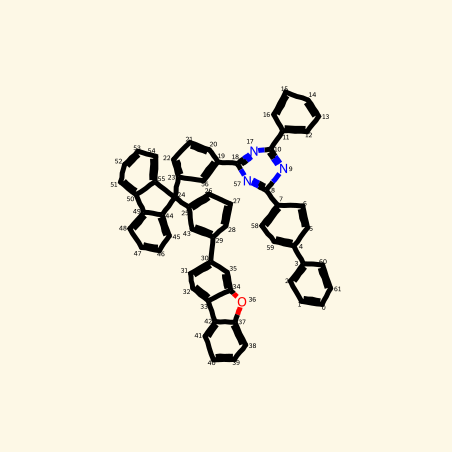 c1ccc(-c2ccc(-c3nc(-c4ccccc4)nc(-c4cccc(C5(c6cccc(-c7ccc8c(c7)oc7ccccc78)c6)c6ccccc6-c6ccccc65)c4)n3)cc2)cc1